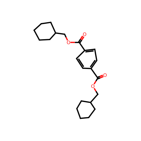 O=C(OCC1CCCCC1)c1ccc(C(=O)OCC2CCCCC2)cc1